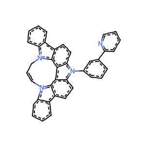 C1=C\n2c3ccccc3c3ccc4c(c5c6c(ccc5n4-c4cccc(-c5ccccn5)c4)c4ccccc4n6C/1)c32